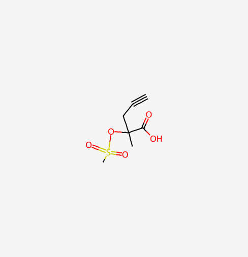 C#CCC(C)(OS(C)(=O)=O)C(=O)O